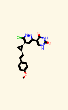 COc1ccc(/C=C/[C@H]2C[C@@H]2c2cc(-c3c[nH]c(=O)[nH]c3=O)nnc2Cl)cc1